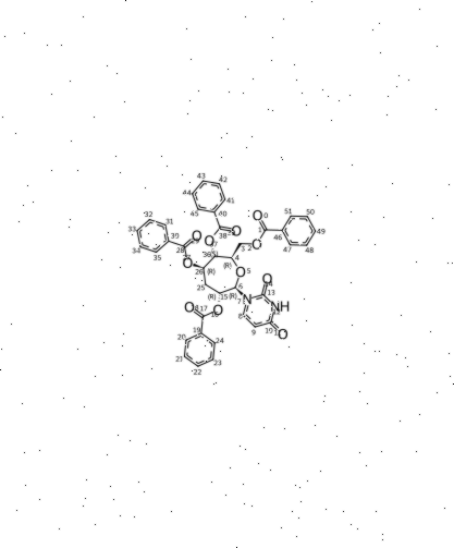 O=C(OC[C@H]1O[C@@H](n2ccc(=O)[nH]c2=O)[C@H](OC(=O)c2ccccc2)C[C@@H](OC(=O)c2ccccc2)[C@@H]1OC(=O)c1ccccc1)c1ccccc1